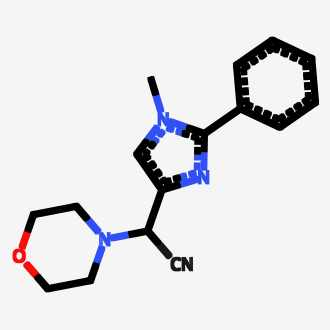 Cn1cc(C(C#N)N2CCOCC2)nc1-c1ccccc1